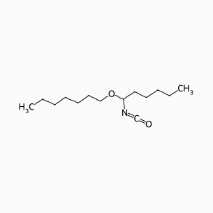 CCCCCCCOC(CCCCC)N=C=O